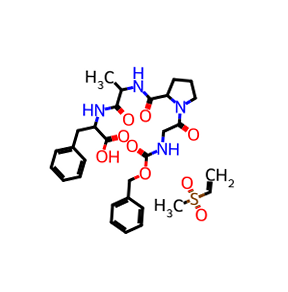 C=CS(C)(=O)=O.CC(NC(=O)C1CCCN1C(=O)CNC(=O)OCc1ccccc1)C(=O)NC(Cc1ccccc1)C(=O)O